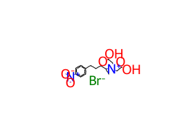 O=C(O)C[N+]1(CC(=O)O)CC1CCCc1ccc([N+](=O)[O-])cc1.[Br-]